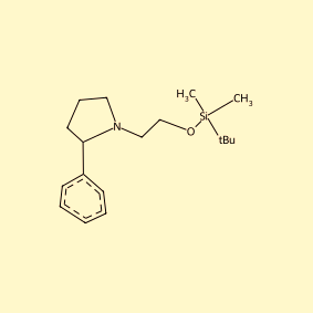 CC(C)(C)[Si](C)(C)OCCN1CCCC1c1ccccc1